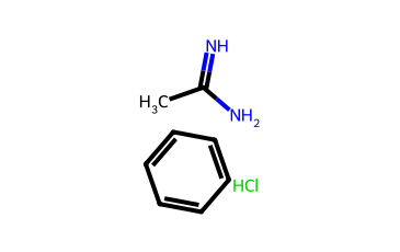 CC(=N)N.Cl.c1ccccc1